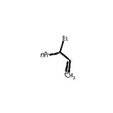 C=[C]C(CC)CCC